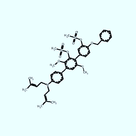 COc1cc(-c2ccc(N(CC=C(C)C)CC=C(C)C)cc2)c(OC)c(OS(C)(=O)=O)c1-c1ccc(OCc2ccccc2)c(OS(C)(=O)=O)c1